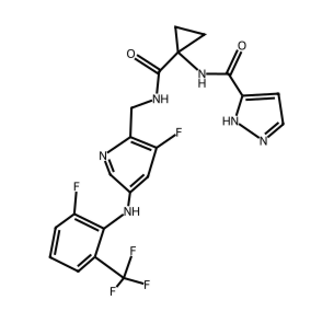 O=C(NC1(C(=O)NCc2ncc(Nc3c(F)cccc3C(F)(F)F)cc2F)CC1)c1ccn[nH]1